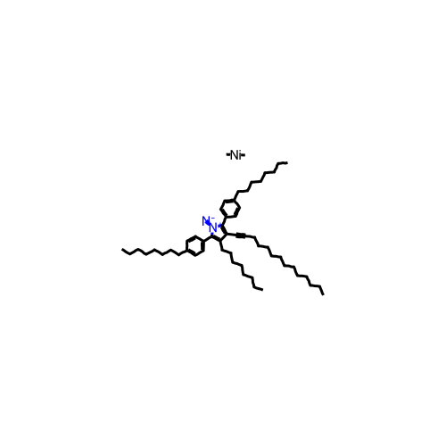 CCCCCCCCCCCCC#CC1=C(c2ccc(CCCCCCCC)cc2)[N+](=[N-])C(c2ccc(CCCCCCCC)cc2)=C1CCCCCCCC.[CH3][Ni][CH3]